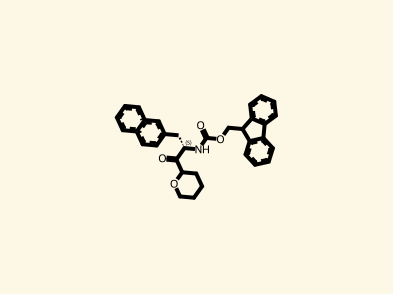 O=C(N[C@@H](Cc1ccc2ccccc2c1)C(=O)C1CCCCO1)OCC1c2ccccc2-c2ccccc21